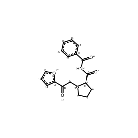 O=C(NC(=O)[C@H]1CCCN1CC(=O)c1ccco1)c1ccccc1